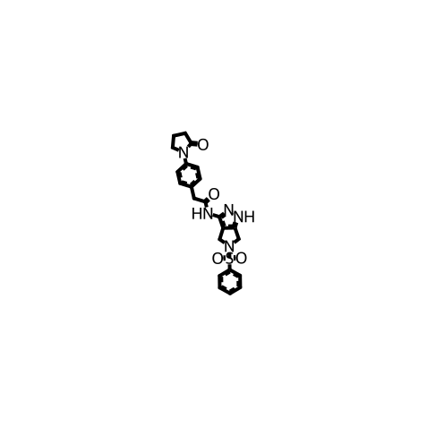 O=C(Cc1ccc(N2CCCC2=O)cc1)Nc1n[nH]c2c1CN(S(=O)(=O)c1ccccc1)C2